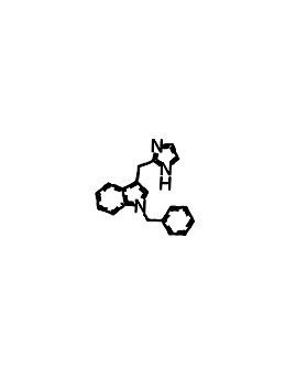 c1ccc(Cn2cc(Cc3ncc[nH]3)c3ccccc32)cc1